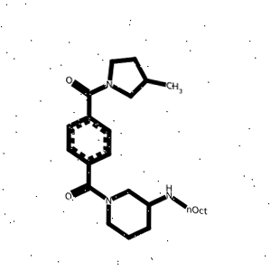 CCCCCCCCNC1CCCN(C(=O)c2ccc(C(=O)N3CCC(C)C3)cc2)C1